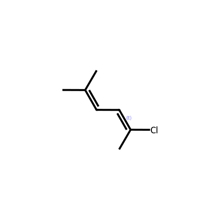 CC(C)=C/C=C(\C)Cl